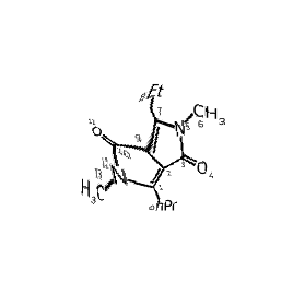 CCCC1=C2C(=O)N(C)C(CC)=C2C(=O)N1C